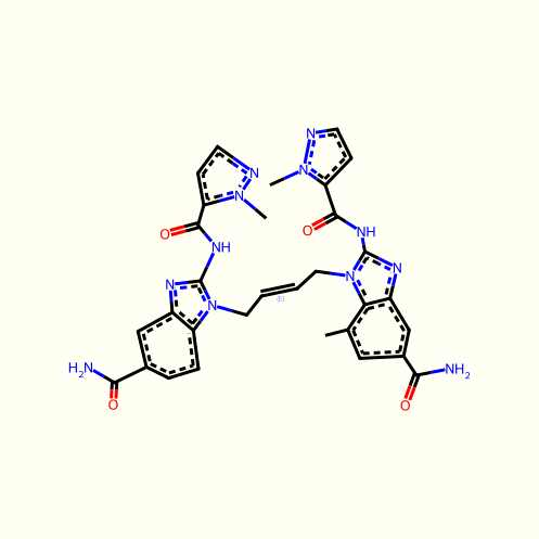 Cc1cc(C(N)=O)cc2nc(NC(=O)c3ccnn3C)n(C/C=C/Cn3c(NC(=O)c4ccnn4C)nc4cc(C(N)=O)ccc43)c12